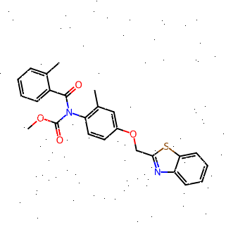 COC(=O)N(C(=O)c1ccccc1C)c1ccc(OCc2nc3ccccc3s2)cc1C